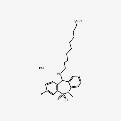 CN1c2ccccc2C(NCCCCCCCCCC(=O)O)c2ccc(I)cc2S1(=O)=O.Cl